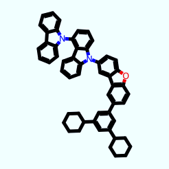 c1ccc2c(c1)c1ccccc1n2-c1cccc2c1c1ccccc1n2-c1ccc2oc3ccc(-c4cc(C5CCCCC5)cc(C5CCCCC5)c4)cc3c2c1